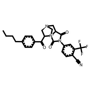 CCCCc1ccc(C(=O)C2C[N@@]3CC4C(=O)N(c5ccc(C#N)c(C(F)(F)F)c5)C(=O)[N+]24C3)cc1